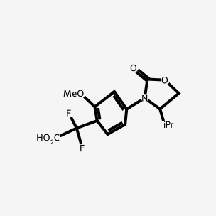 COc1cc(N2C(=O)OCC2C(C)C)ccc1C(F)(F)C(=O)O